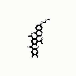 COCOc1ccc2c(=O)c(-c3c(C(C)=O)cc4c(=O)c5cc(C)c(C)cc5oc4c3C(C)=O)coc2c1